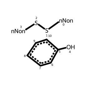 CCCCCCCCCSSCCCCCCCCC.Oc1ccccc1